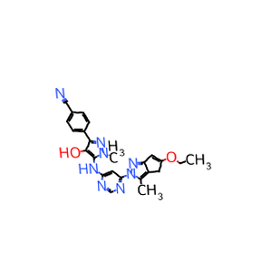 CCOC1=Cc2nn(-c3cc(Nc4c(O)c(-c5ccc(C#N)cc5)nn4C)ncn3)c(C)c2C1